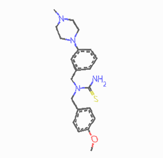 COc1ccc(CN(Cc2cccc(N3CCN(C)CC3)c2)C(N)=S)cc1